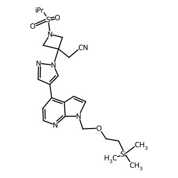 CC(C)S(=O)(=O)N1CC(CC#N)(n2cc(-c3ccnc4c3ccn4COCC[Si](C)(C)C)cn2)C1